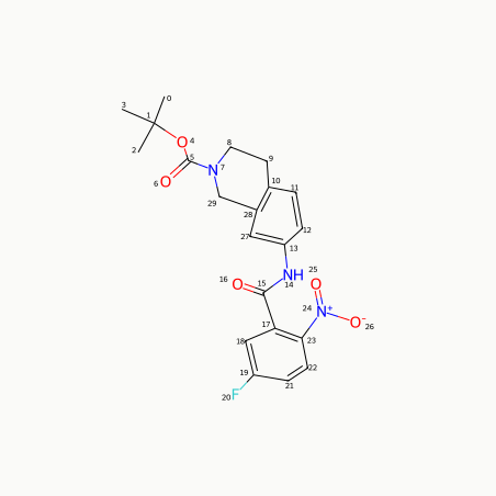 CC(C)(C)OC(=O)N1CCc2ccc(NC(=O)c3cc(F)ccc3[N+](=O)[O-])cc2C1